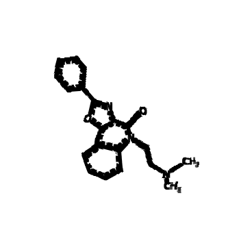 CN(C)CCn1c(=O)c2nc(-c3ccccc3)oc2c2ccccc21